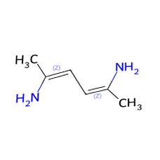 C/C(N)=C/C=C(/C)N